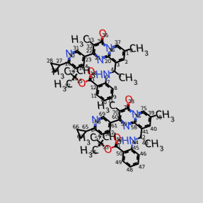 Cc1cc(C(C)Nc2ccccc2C(=O)OC(C)(C)C)c2nc(-c3ccc(C4CC4)nc3)c(C)c(=O)n2c1.Cc1cc([C@H](C)Nc2ccccc2C(=O)OC(C)(C)C)c2nc(-c3ccc(C4CC4)nc3)c(C)c(=O)n2c1